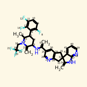 C=C(NC1CC(c2c(F)ccc(F)c2F)C(C)N(CC(F)(F)F)C1=C)c1cnc2c(c1)CC1(C2)C(=C)Nc2ncccc21